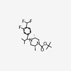 CC(C)C(c1ccc(C(F)F)c(F)c1)N1C[C@H](C)N(C(=O)OC(C)(C)C)C[C@H]1C